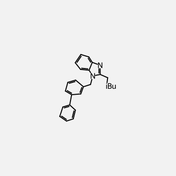 CCC(C)Cc1nc2ccccc2n1Cc1cccc(-c2ccccc2)c1